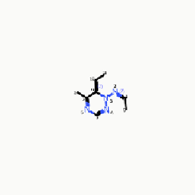 C/C=N\N1N=CN=C(C)/C1=C/C